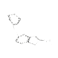 NC1=Cc2cc(Oc3ccccc3)ccc2C1